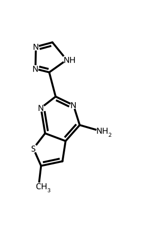 Cc1cc2c(N)nc(-c3nnc[nH]3)nc2s1